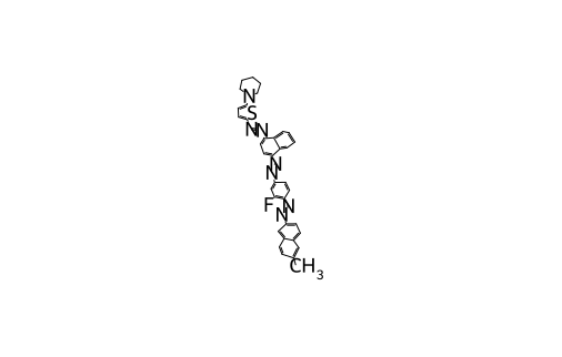 Cc1ccc2cc(N=Nc3ccc(N=Nc4ccc(N=Nc5ccc(N6CCCCC6)s5)c5ccccc45)cc3F)ccc2c1